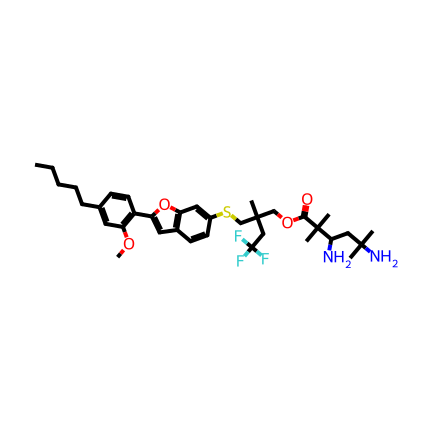 CCCCCc1ccc(-c2cc3ccc(SCC(C)(COC(=O)C(C)(C)C(N)CC(C)(C)N)CC(F)(F)F)cc3o2)c(OC)c1